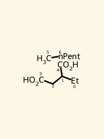 CCC(CC(=O)O)C(=O)O.CCCCCC